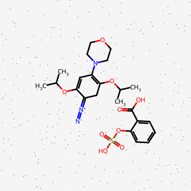 CC(C)OC1=CC(N2CCOCC2)=C(OC(C)C)CC1=[N+]=[N-].O=C(O)c1ccccc1OS(=O)(=O)O